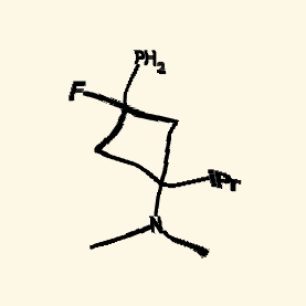 CC(C)C1(N(C)C)CC(F)(P)C1